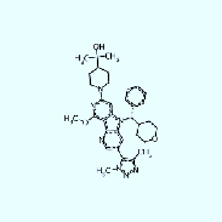 COc1nc(N2CCC(C(C)(C)O)CC2)cc2c1c1ncc(-c3c(C)nnn3C)cc1n2[C@H](c1ccccc1)C1CCOCC1